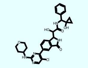 O=C1NC(C(O)C(=O)NC(c2ccccc2)C2(O)CC2)c2ccc(-c3nc(NC4CCOCC4)ncc3Cl)cc21